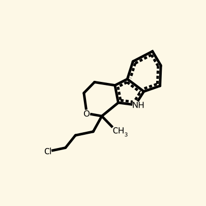 CC1(CCCCl)OCCc2c1[nH]c1ccccc21